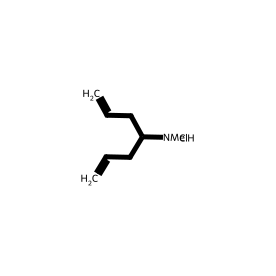 C=CCC(CC=C)NC.Cl